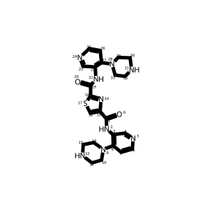 O=C(Nc1cnccc1N1CCNCC1)c1csc(C(=O)Nc2cnccc2N2CCNCC2)n1